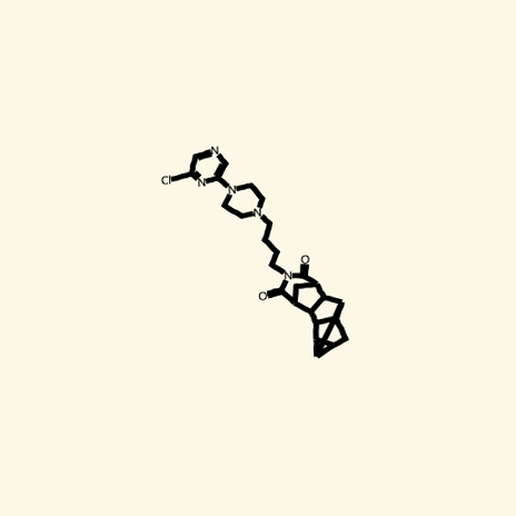 O=C1C2CC(C(=O)N1CCCCN1CCN(c3cncc(Cl)n3)CC1)C1C2C2C3CC4C2C4C31